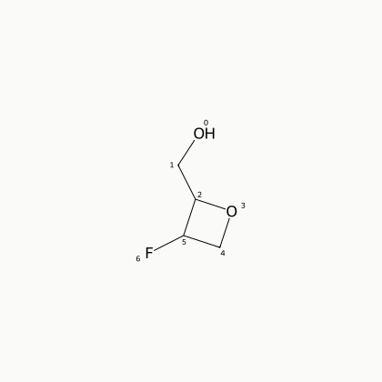 OCC1OCC1F